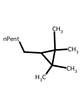 CCCCCCC1C(C)(C)C1(C)C